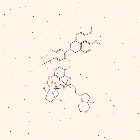 COc1ccc(CN(Cc2ccc(OC)cc2)c2cc(C)c(C(F)(F)C(F)(F)F)c(-c3nc4c5c(nc(OC[C@@H]6CC[C@H]7COCCN76)nc5c3F)N3C[C@H]5CC[C@@H]([C@H]3[C@H](C)O4)N5C(=O)OC(C)(C)C)c2F)cc1